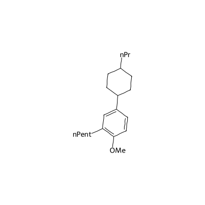 CCCCCc1cc(C2CCC(CCC)CC2)ccc1OC